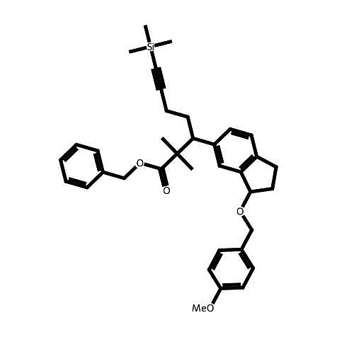 COc1ccc(COC2CCc3ccc(C(CCC#C[Si](C)(C)C)C(C)(C)C(=O)OCc4ccccc4)cc32)cc1